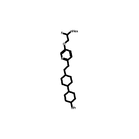 CCCCCCC(F)COc1ccc(CCC2CCC(C3CCC(CCC)CC3)CC2)nc1